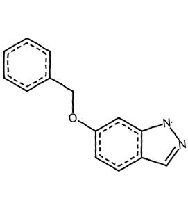 C1=N[N]c2cc(OCc3ccccc3)ccc21